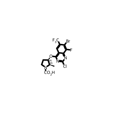 C[C@@H]1[C@H](Oc2nc(Cl)nc3c(F)c(Br)c(C(F)(F)F)cc23)CCN1C(=O)O